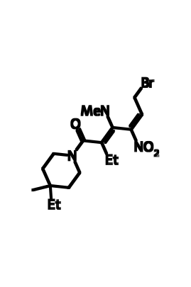 CC/C(C(=O)N1CCC(C)(CC)CC1)=C(NC)\C(=C/CBr)[N+](=O)[O-]